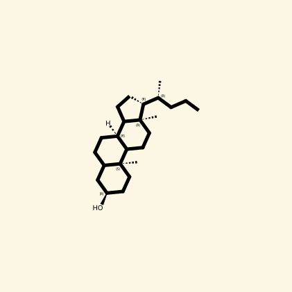 CCC[C@@H](C)[C@H]1CCC2[C@@H]3CCC4C[C@H](O)CC[C@]4(C)C3CC[C@@]21C